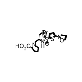 CC(C)C[C@@H](CN1CCC[C@H]1C(=O)O)NS(=O)(=O)c1ccc(N2CC=CO2)s1